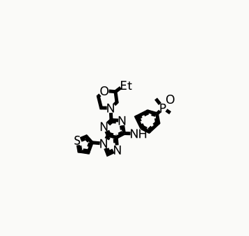 CCC1CN(c2nc(Nc3ccc(P(C)(C)=O)cc3)c3ncn(-c4ccsc4)c3n2)CCO1